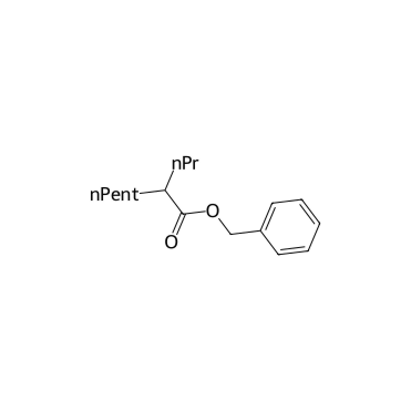 CCCCCC(CCC)C(=O)OCc1ccccc1